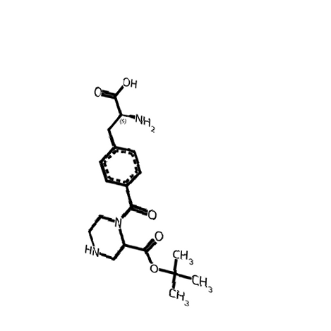 CC(C)(C)OC(=O)C1CNCCN1C(=O)c1ccc(C[C@H](N)C(=O)O)cc1